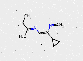 C=N/C(=C\N=C(/C)CC)C1CC1